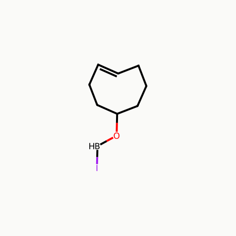 IBOC1CC/C=C/CCC1